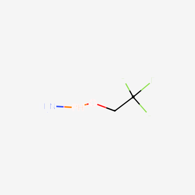 NPOCC(F)(F)F